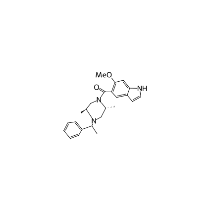 COc1cc2[nH]ccc2cc1C(=O)N1C[C@H](C)N(C(C)c2ccccc2)C[C@H]1C